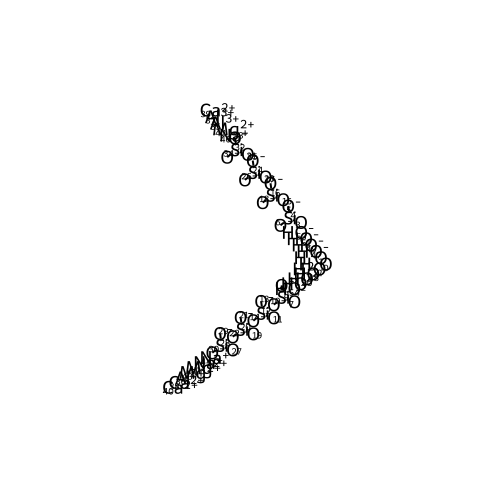 O.O.O.O=[Si]([O-])[O-].O=[Si]([O-])[O-].O=[Si]([O-])[O-].O=[Si]([O-])[O-].O=[Si]([O-])[O-].O=[Si]([O-])[O-].O=[Si]([O-])[O-].O=[Si]([O-])[O-].[Al+3].[Al+3].[Al+3].[Ca+2].[Ca+2].[Ca+2].[Mg+2].[Mg+2].[Mg+2].[Na+].[Na+].[Na+].[OH-].[OH-].[OH-].[OH-].[OH-].[OH-].[OH-].[OH-]